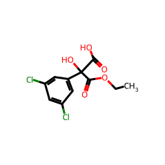 CCOC(=O)C(O)(C(=O)O)c1cc(Cl)cc(Cl)c1